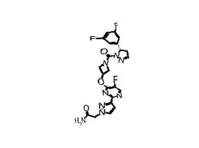 NC(=O)Cn1ccc(-c2ncc(F)c(OC3CN(C(=O)N4N=CC[C@H]4c4cc(F)cc(F)c4)C3)n2)n1